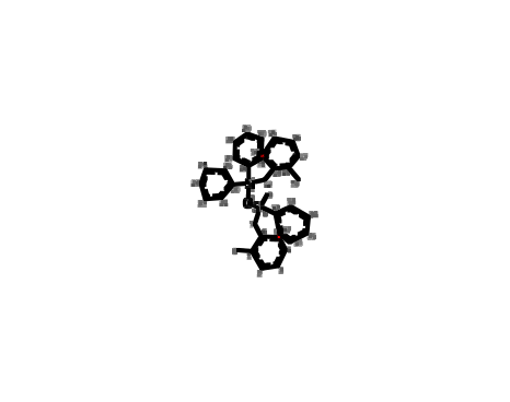 Cc1ccccc1C[Si](C)(O[Si](Cc1ccccc1C)(c1ccccc1)c1ccccc1)c1ccccc1